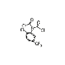 O=C(Cl)N(C(=O)Cl)c1cc(C(F)(F)F)ccc1Cl